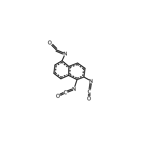 O=C=Nc1ccc2c(N=C=O)cccc2c1N=C=O